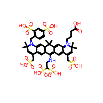 CC1(C)c2cc3c(cc2C(NCC(S(=O)(=O)O)S(=O)(=O)O)=c2cc4c(cc21)=[N+](CCCC(=O)O)C(C)(C)C=C4CS(=O)(=O)O)C(CS(=O)(=O)O)=CC(C)(C)N3Cc1ccc(S(=O)(=O)O)cc1S(=O)(=O)O